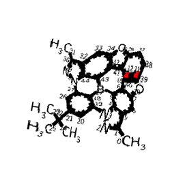 Cc1nn2c3c(c4c(cc13)oc1ccccc14)B1c3c-2cc(C(C)(C)C)cc3-n2nc(C)c3cc4oc5ccccc5c4c1c32